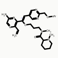 C=Cc1ncc(N)nc1/C(=C/c1cnc(COCCC)nc1)OCCCN(C)C(=O)C1CCCCN1C